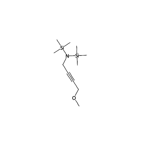 COCC#CCN([Si](C)(C)C)[Si](C)(C)C